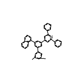 Cc1cc(C)cc(-c2cc(-c3cc(-c4ccccc4)nc(-c4ccccc4)c3)cc(-c3cccc4ccccc34)c2)c1